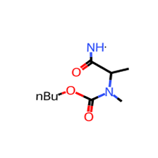 CCCCOC(=O)N(C)C(C)C([NH])=O